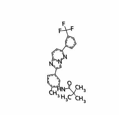 Cc1ccc(-c2cn3nc(-c4cccc(C(F)(F)F)c4)ccc3n2)cc1NC(=O)C(C)(C)C